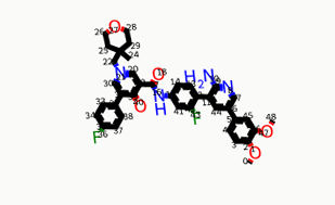 COc1ccc(-c2cnc(N)c(-c3ccc(NC(=O)c4cn(CC5(C)CCOCC5)cc(-c5ccc(F)cc5)c4=O)cc3F)c2)cc1OC